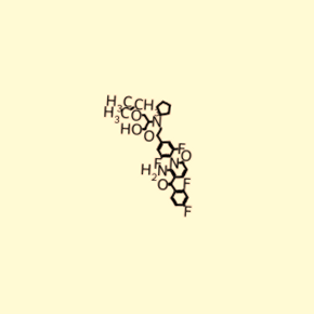 CC(C)(C)OCC(C(=O)O)N(CCc1cc(F)c(-n2c(N)c(C(=O)c3ccc(F)cc3F)ccc2=O)c(F)c1)C1CCCC1